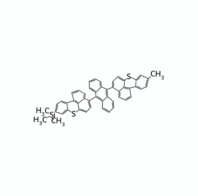 Cc1ccc2c(c1)Sc1ccc(-c3c4ccccc4c(-c4ccc5c6c(cccc46)-c4ccc([Si](C)(C)C)cc4S5)c4ccccc34)c3cccc-2c13